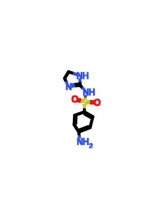 Nc1ccc(S(=O)(=O)NC2=NCCN2)cc1